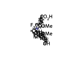 COc1cc(/C=C/c2cccc(-c3cccc(-c4cnc(CN5CC[C@@H](O)C5)c(OC)n4)c3C)c2C)c(C(F)(F)F)cc1CN1CC[C@@H](C(=O)O)C1